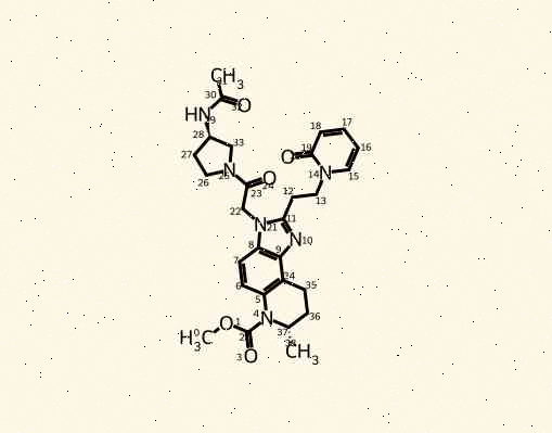 COC(=O)N1c2ccc3c(nc(CCn4ccccc4=O)n3CC(=O)N3CC[C@@H](NC(C)=O)C3)c2CC[C@@H]1C